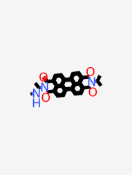 CNC(C)N1C(=O)c2ccc3c4ccc5c6c(ccc(c7ccc(c2c37)C1=O)c64)C(=O)N(C(C)C)C5=O